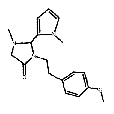 COc1ccc(CCN2C(=O)CN(C)C2c2cccn2C)cc1